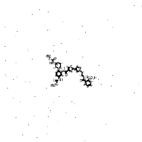 CC(C)(C)OC(=O)Nc1ccc(N2CCC[C@@H](NC(=O)OC(C)(C)C)C2)c(NC(=O)c2csc(-c3cnn(CCNC(=O)c4ccccc4C(=O)O)c3)n2)c1